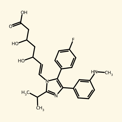 CNc1cccc(-c2nc(C(C)C)n(C=CC(O)CC(O)CC(=O)O)c2-c2ccc(F)cc2)c1